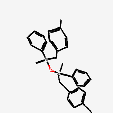 Cc1ccc(C[Si](C)(O[Si](C)(Cc2ccc(C)cc2)c2ccccc2)c2ccccc2)cc1